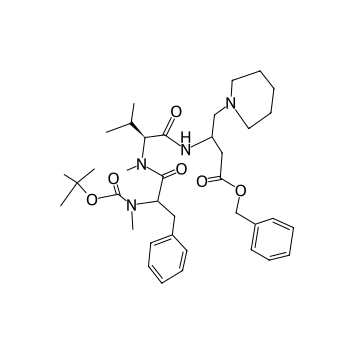 CC(C)[C@@H](C(=O)NC(CC(=O)OCc1ccccc1)CN1CCCCC1)N(C)C(=O)C(Cc1ccccc1)N(C)C(=O)OC(C)(C)C